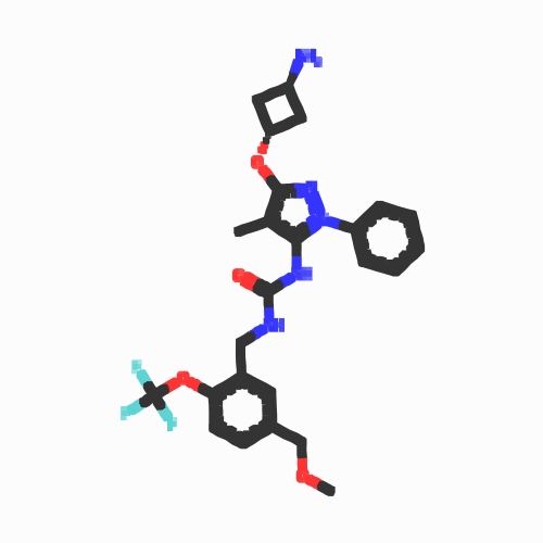 COCc1ccc(OC(F)(F)F)c(CNC(=O)Nc2c(C)c(O[C@H]3C[C@H](N)C3)nn2-c2ccccc2)c1